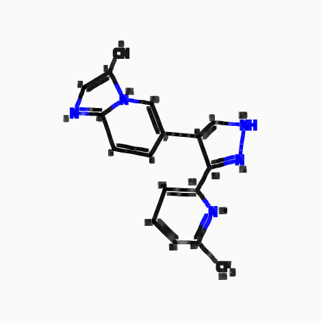 N#Cc1cnc2ccc(-c3c[nH]nc3-c3cccc(C(F)(F)F)n3)cn12